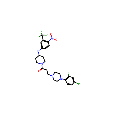 O=C(CCN1CCN(c2ccc(Cl)cc2F)CC1)N1CCC(Nc2ccc([N+](=O)[O-])c(C(F)(F)F)c2)CC1